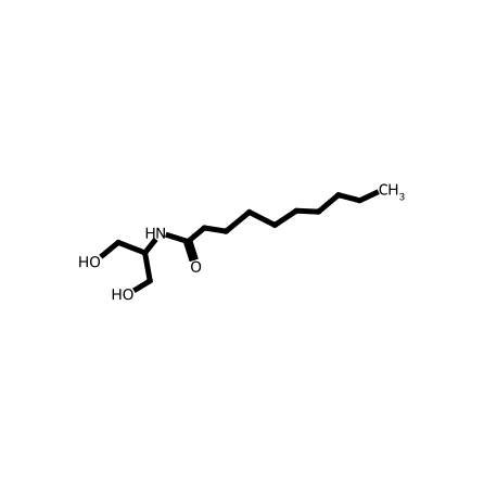 CCCCCCCCCC(=O)NC(CO)CO